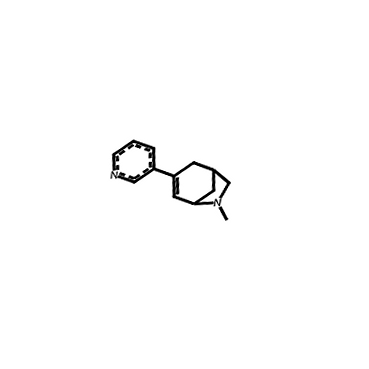 CN1CC2CC(c3cccnc3)=CC1C2